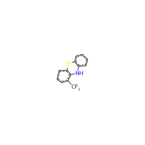 FC(F)(F)c1cccc2c1Nc1ccccc1S2